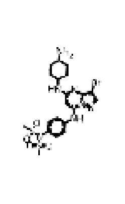 CS(=O)(=O)N(c1ccc(Nc2cc(NC3CCC(N)CC3)nc3c(Br)cnn23)cc1)S(C)(=O)=O